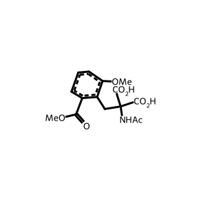 COC(=O)c1cccc(OC)c1CC(NC(C)=O)(C(=O)O)C(=O)O